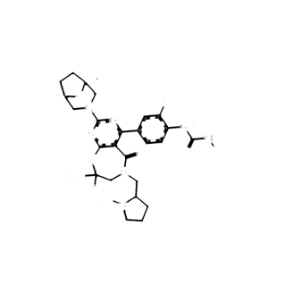 CCNC(=O)Nc1ccc(-c2nc(N3CC4CC[C@@H](C3)O4)nc3c2C(=O)N(CC2CCCN2C(=O)OCC)CC(C)(C)O3)cc1F